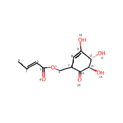 C/C=C/C(=O)OCC1C=C(O)[C@H](O)[C@@H](O)C1=O